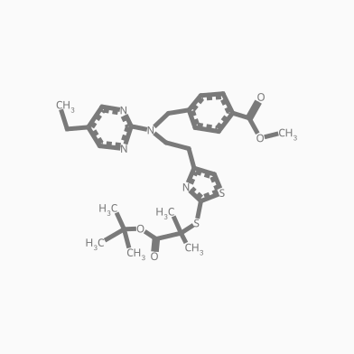 CCc1cnc(N(CCc2csc(SC(C)(C)C(=O)OC(C)(C)C)n2)Cc2ccc(C(=O)OC)cc2)nc1